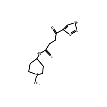 CN1CCC(NC(=O)CCC(=O)c2c[nH]nn2)CC1